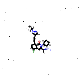 [2H]C([2H])([2H])n1cc(C#Cc2ccc(F)c3cc([C@H](C)N)n(-c4ccccc4)c(=O)c23)cn1